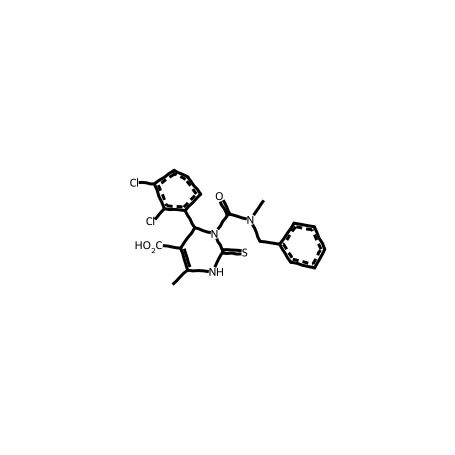 CC1=C(C(=O)O)C(c2cccc(Cl)c2Cl)N(C(=O)N(C)Cc2ccccc2)C(=S)N1